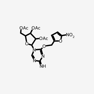 CC(=O)OCC1OC(n2cnc(=N)nc2OCc2ccc([N+](=O)[O-])o2)C(OC(C)=O)C1OC(C)=O